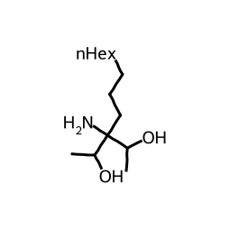 CCCCCCCCCC(N)(C(C)O)C(C)O